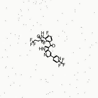 O=C(c1ccc(F)c(NS(=O)(=O)CCC(F)(F)F)c1F)c1c[nH]c2ncc(-c3ccc(C(F)(F)F)nc3)cc12